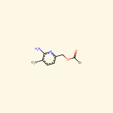 CCC(=O)OCc1ccc([N+](=O)[O-])c(N)n1